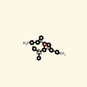 Cc1ccc(-c2ccc3c(c2)c2ccccc2n3-c2ccnc(-c3cc(-c4nc(-c5ccccc5)nc(-c5ccccc5)n4)ccc3-n3c4ccccc4c4cc(-c5ccc(C)cc5)ccc43)c2)cc1